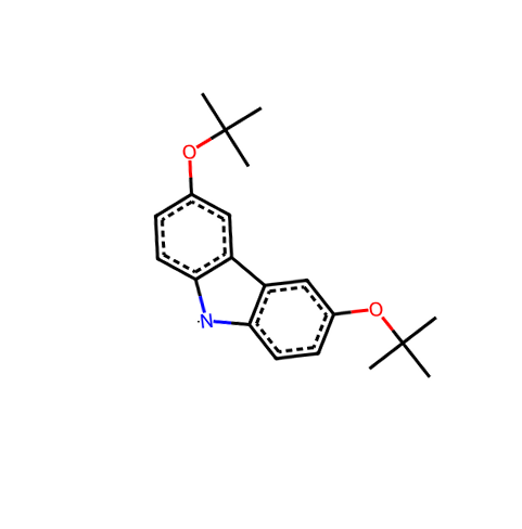 CC(C)(C)Oc1ccc2c(c1)-c1cc(OC(C)(C)C)ccc1[N]2